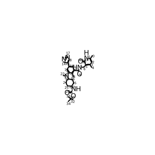 Cc1cc(C)c(CNC(=O)c2cc(-c3cnn(C)c3)cc(N(C)C3CCC(NC(=O)OC(C)(C)C)CC3)c2C)c(=O)[nH]1